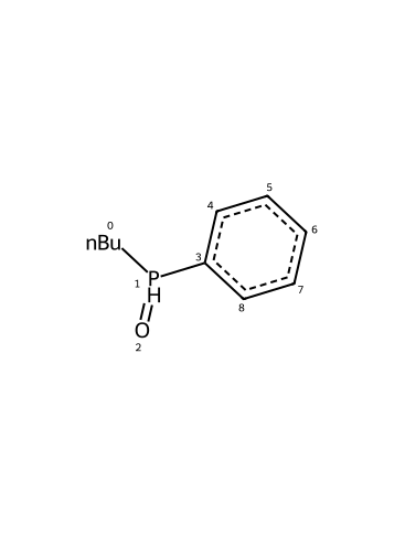 CCCC[PH](=O)c1ccccc1